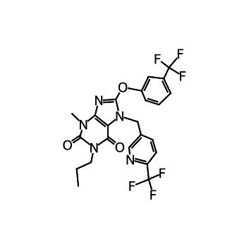 CCCn1c(=O)c2c(nc(Oc3cccc(C(F)(F)F)c3)n2Cc2ccc(C(F)(F)F)nc2)n(C)c1=O